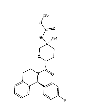 CC(C)(C)OC(=O)N[C@@]1(O)CC[C@H](C(=O)N2CCc3ccccc3[C@@H]2c2ccc(F)cc2)OC1